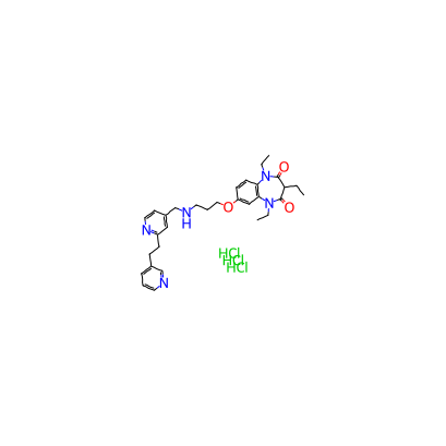 CCC1C(=O)N(CC)c2ccc(OCCCNCc3ccnc(CCc4cccnc4)c3)cc2N(CC)C1=O.Cl.Cl.Cl